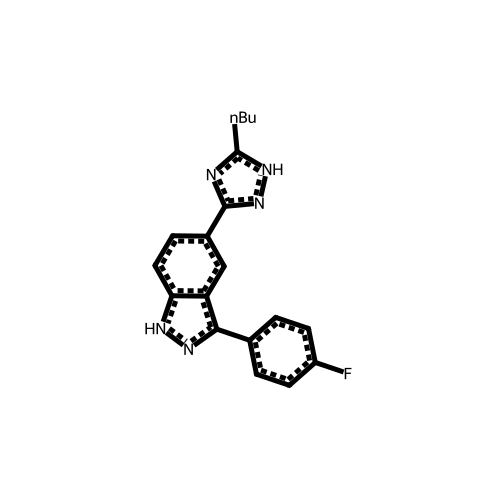 CCCCc1nc(-c2ccc3[nH]nc(-c4ccc(F)cc4)c3c2)n[nH]1